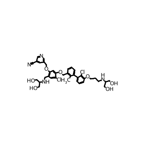 Cc1c(COc2cc(OCc3cncc(C#N)c3)c(CNC(CO)CO)cc2Cl)cccc1-c1cccc(OCCCNC(CO)CO)c1Cl